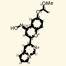 COC(C)Oc1ccc2oc(-c3cc4cccn4cn3)cc(=NO)c2c1